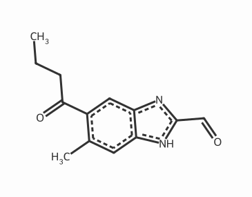 CCCC(=O)c1cc2nc(C=O)[nH]c2cc1C